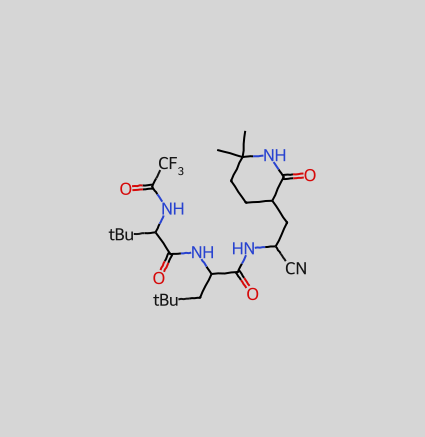 CC(C)(C)CC(NC(=O)C(NC(=O)C(F)(F)F)C(C)(C)C)C(=O)NC(C#N)CC1CCC(C)(C)NC1=O